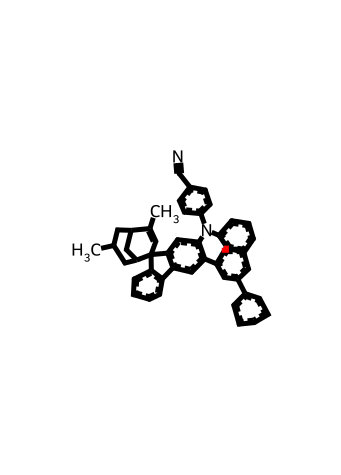 CC1=CC2(c3ccccc3-c3cc(-c4cccc(-c5ccccc5)c4)c(N(c4ccccc4)c4ccc(C#N)cc4)cc32)C2CC(C)CC1C2